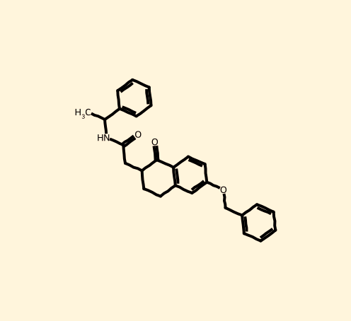 CC(NC(=O)CC1CCc2cc(OCc3ccccc3)ccc2C1=O)c1ccccc1